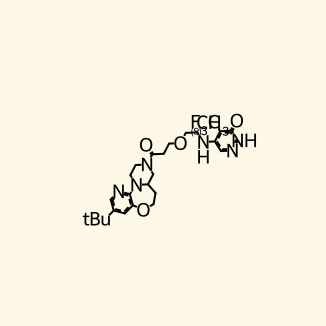 C[C@@H](COCCC(=O)N1CCN2c3ncc(C(C)(C)C)cc3OCCC2C1)Nc1cn[nH]c(=O)c1C(F)(F)F